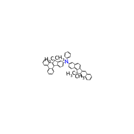 CC1(C)c2cc3ccccc3cc2-c2ccc3cc(N(c4ccccc4)c4ccc5c(c4)C(C)(C)c4c-5c5ccccc5c5ccccc45)ccc3c21